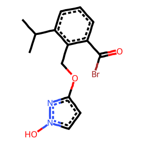 CC(C)c1cccc(C(=O)Br)c1COc1ccn(O)n1